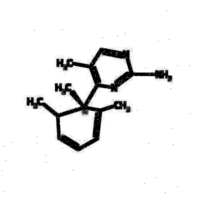 CC1=CC=CC(C)[C@]1(C)c1nc(N)ncc1C